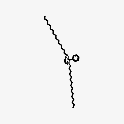 CCCCCCCCCCCCCCCCCN1C=CN(CCCCCCCCCCCCCCCC)C1c1ccccc1